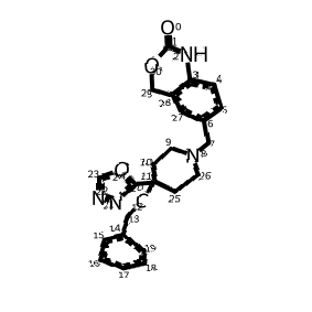 O=C1Nc2ccc(CN3CCC(CCc4ccccc4)(c4nnco4)CC3)cc2CO1